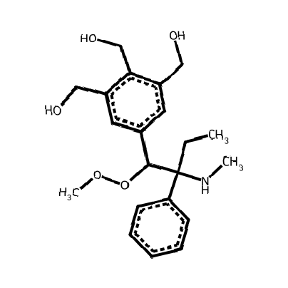 CCC(NC)(c1ccccc1)C(OOC)c1cc(CO)c(CO)c(CO)c1